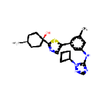 Cc1cc(Nc2ncnn2C2CCC2)cc(-c2cnc([C@]3(O)CC[C@@H](C(=O)O)CC3)s2)c1